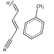 C=CC=CC#N.Cc1ccccc1